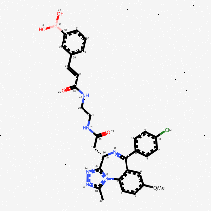 COc1ccc2c(c1)C(c1ccc(Cl)cc1)=N[C@@H](CC(=O)NCCNC(=O)C=Cc1cccc(B(O)O)c1)c1nnc(C)n1-2